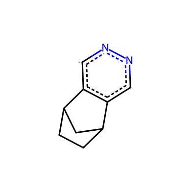 [c]1nncc2c1C1CCC2C1